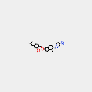 COc1cc(CC(C)C)ccc1COc1ccc2c(c1)CCC(CN1CC[C@H](N(C)C)C1)=C2C